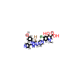 CCN1C=C(C(=O)O)C(O)c2cc(F)c(N3CCN(CN4N=C(c5ccncc5)N(c5ccc(OC)cc5)C4S)CC3)cc21